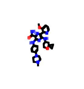 COc1cccnc1-c1nc(C(N)=O)c(Nc2ccc(N3CCN(C)CC3)cc2)nc1NC1CCOC2(CC2)C1